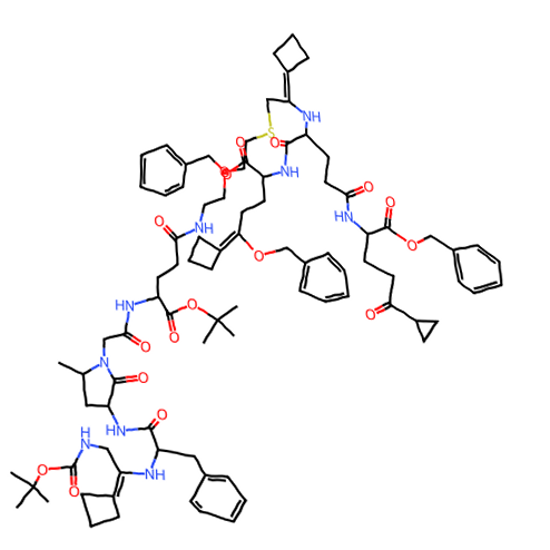 CC1CC(NC(=O)C(Cc2ccccc2)NC(CNC(=O)OC(C)(C)C)=C2CCC2)C(=O)N1CC(=O)NC(CCC(=O)NCCOCCSCC(NC(CCC(=O)NC(CCC(=O)C1CC1)C(=O)OCc1ccccc1)C(=O)NC(CCC(OCc1ccccc1)=C1CCC1)C(=O)OCc1ccccc1)=C1CCC1)C(=O)OC(C)(C)C